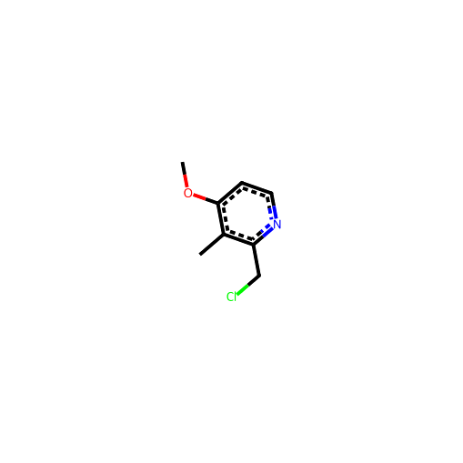 COc1ccnc(CCl)c1C